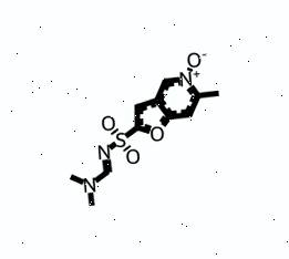 Cc1cc2oc(S(=O)(=O)N=CN(C)C)cc2c[n+]1[O-]